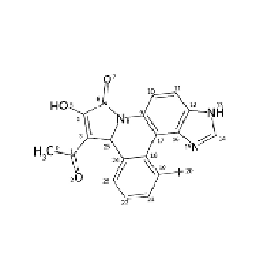 CC(=O)C1=C(O)C(=O)N2c3ccc4[nH]cnc4c3-c3c(F)cccc3C12